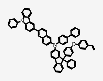 C=Cc1ccc(Oc2ccc(C3(c4ccccc4)c4ccccc4-c4ccc(N(c5ccc(-c6ccccc6)cc5)c5ccc6cc(-c7ccc8c(c7)c7ccccc7n8-c7ccccc7)ccc6c5)cc43)cc2)cc1